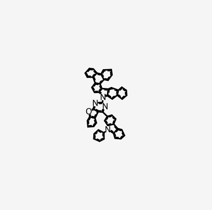 c1ccc(-n2c3ccccc3c3ccc(-c4nc(-n5c6cc7ccccc7cc6c6c7c8ccccc8c8ccccc8c7ccc65)nc5oc6ccccc6c45)cc32)cc1